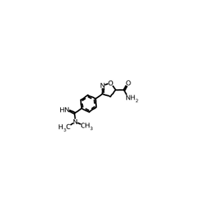 CN(C)C(=N)c1ccc(C2=NOC(C(N)=O)C2)cc1